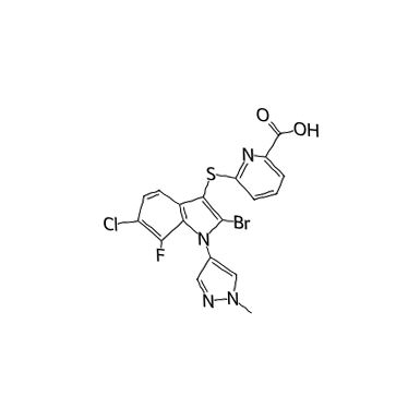 Cn1cc(-n2c(Br)c(Sc3cccc(C(=O)O)n3)c3ccc(Cl)c(F)c32)cn1